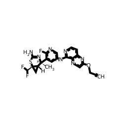 C#CCOc1cnc2c(Nc3cnc(F)c([C@]4(C)N=C(N)S[C@@]5(C(F)F)C[C@@H]45)c3)nccc2n1